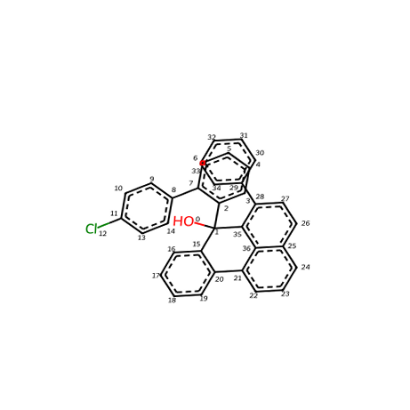 OC1(c2ccccc2-c2ccc(Cl)cc2)c2ccccc2-c2cccc3ccc(-c4ccccc4)c1c23